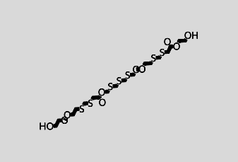 O=C(CSCSCCOOCSCSCSCOC(=O)CSCSCCOOCCO)OCCO